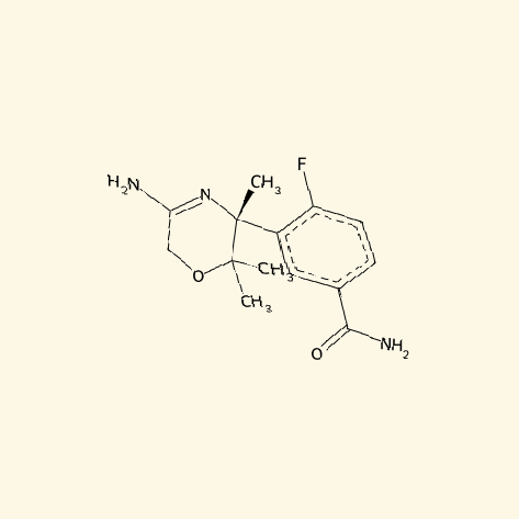 CC1(C)OCC(N)=N[C@]1(C)c1cc(C(N)=O)ccc1F